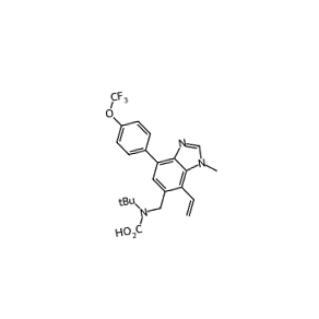 C=Cc1c(CN(C(=O)O)C(C)(C)C)cc(-c2ccc(OC(F)(F)F)cc2)c2ncn(C)c12